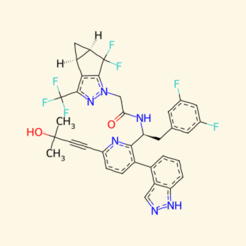 CC(C)(O)C#Cc1ccc(-c2cccc3[nH]ncc23)c([C@H](Cc2cc(F)cc(F)c2)NC(=O)Cn2nc(C(F)(F)F)c3c2C(F)(F)[C@@H]2C[C@H]32)n1